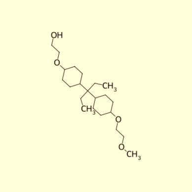 CCC(CC)(C1CCC(OCCO)CC1)C1CCC(OCCOC)CC1